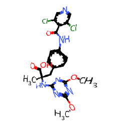 COc1nc(N[C@@](C)(Cc2ccc(NC(=O)c3c(Cl)cncc3Cl)cc2)C(=O)O)nc(OC)n1